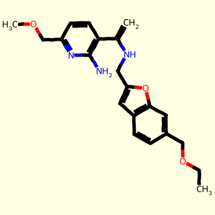 C=C(NCc1cc2ccc(COCC)cc2o1)c1ccc(COC)nc1N